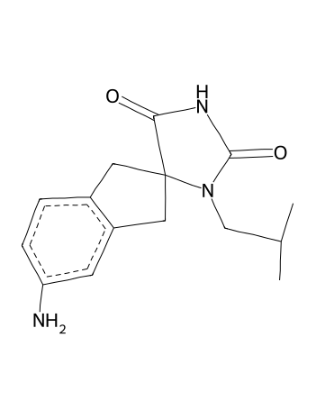 CC(C)CN1C(=O)NC(=O)C12Cc1ccc(N)cc1C2